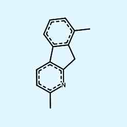 Cc1ccc2c(n1)Cc1c(C)cccc1-2